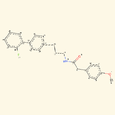 CCOc1ccc(CC(=O)NCCCc2ccc(-c3ccccc3F)cc2)cc1